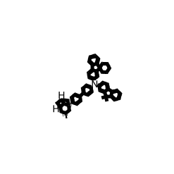 C[C@H]1C[C@@H]2C[C@@H]3C[C@@](c4ccc(-c5ccc(N(c6ccc7c(c6)C(C)(C)c6ccccc6-7)c6ccc7c(c6)C6(CCCCC6)c6ccccc6-7)cc5)cc4)(C1)C23